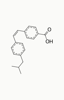 CC(C)Cc1ccc(/C=C\c2ccc(C(=O)O)cc2)cc1